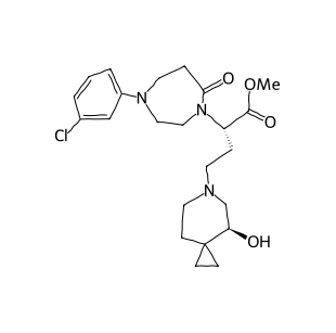 COC(=O)[C@H](CCN1CCC2(CC2)[C@H](O)C1)N1CCN(c2cccc(Cl)c2)CCC1=O